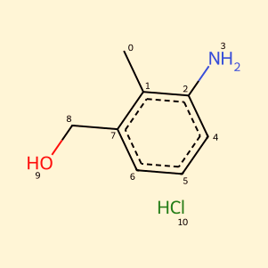 Cc1c(N)cccc1CO.Cl